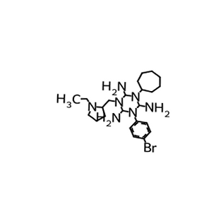 CCN1CCCC1CN1C(N)N(c2ccc(Br)cc2)C(N)N(C2CCCCCC2)C1N